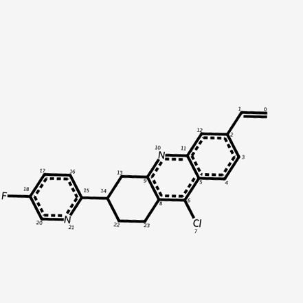 C=Cc1ccc2c(Cl)c3c(nc2c1)CC(c1ccc(F)cn1)CC3